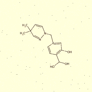 CC1(C)C=CN(Cc2ccc(C(O)O)c(O)c2)N=C1